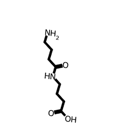 NCCCC(=O)NCCCC(=O)O